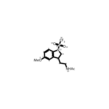 COc1ccc2c(c1)C(CCNC(C)=O)CN2S(=O)(=O)C(F)(F)F